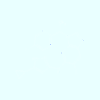 C[C@@H](c1ncc(F)cn1)n1cnc2cc(F)c(Nc3cc(C4CC4)[nH]n3)nc21